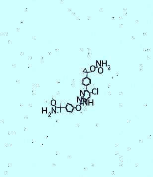 CC(C)(C(N)=O)c1ccc(Oc2nc3nc(-c4ccc(C5(COC(N)=O)CC5)cc4)c(Cl)cc3[nH]2)cc1